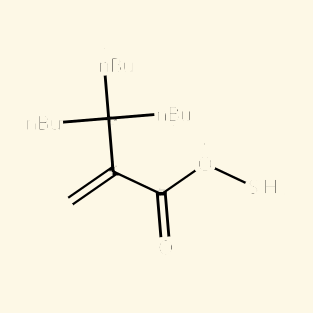 C=C(C(=O)O[SiH3])C(CCCC)(CCCC)CCCC